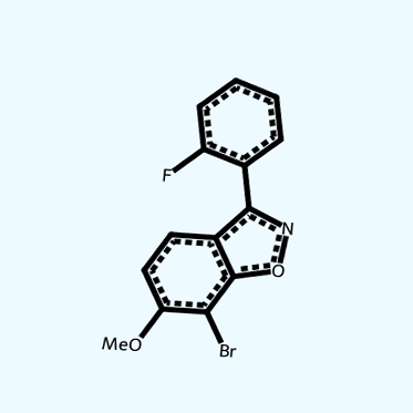 COc1ccc2c(-c3ccccc3F)noc2c1Br